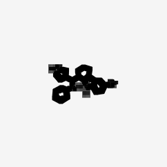 Brc1ccc2[nH]c3c(c2c1)CCCC3C(Nc1ccccc1)c1cc[nH]c1